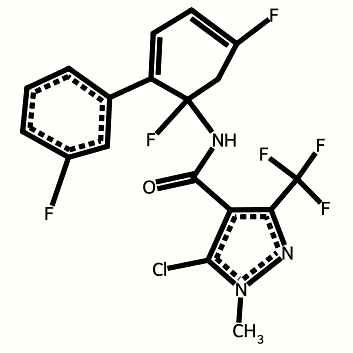 Cn1nc(C(F)(F)F)c(C(=O)NC2(F)CC(F)=CC=C2c2cccc(F)c2)c1Cl